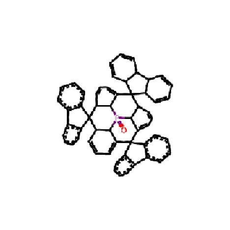 O=P12C3C4=CC=CC3C3(c5ccccc5-c5ccccc53)C3C=CC=C(C31)C1(C3C=CC=CC3C3C=CC=CC31)C1C=CC=C(C12)C41c2ccccc2-c2ccccc21